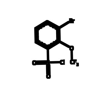 O=S(=O)(Cl)c1cccc(Br)c1OC(F)(F)F